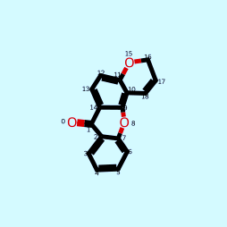 O=c1c2ccccc2oc2c3c(ccc12)OCC=C3